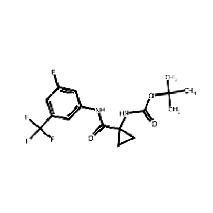 CC(C)(C)OC(=O)NC1(C(=O)Nc2cc(F)cc(C(F)(F)F)c2)CC1